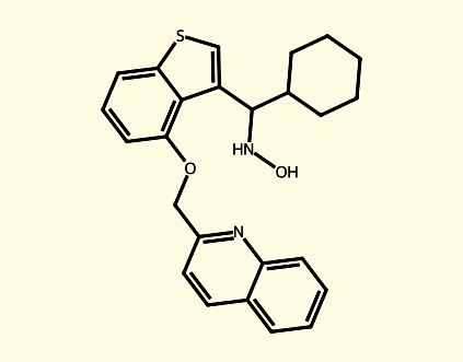 ONC(c1csc2cccc(OCc3ccc4ccccc4n3)c12)C1CCCCC1